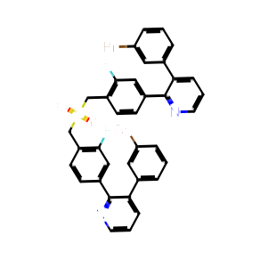 O=S(=O)(Cc1ccc(-c2ncccc2-c2cccc(Br)c2)cc1F)Cc1ccc(-c2ncccc2-c2cccc(Br)c2)cc1F